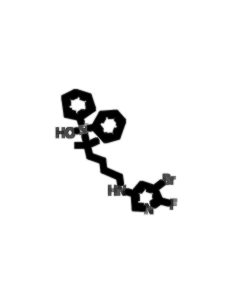 CC(C)(CCCCNc1cnc(F)c(Br)c1)[Si](O)(c1ccccc1)c1ccccc1